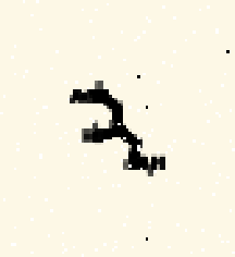 CC(=O)NCC(O)CS(=O)(=O)O